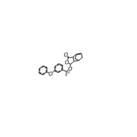 C[C@H](OC1OC(=O)C2C3=CCC(C3)C12)c1cccc(Oc2ccccc2)c1